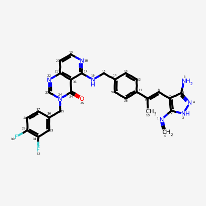 C=Nc1[nH]nc(N)c1/C=C(\C)c1ccc(CNc2nccc3ncn(Cc4ccc(F)c(F)c4)c(=O)c23)cc1